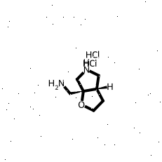 Cl.Cl.NC[C@@]12CNC[C@@H]1CCO2